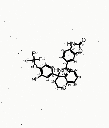 O=C(NC1(c2ccc(OC(F)(F)F)c(F)c2)CCOc2cccnc21)c1ccc2[nH]c(=O)oc2c1